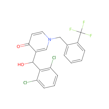 O=c1ccn(Cc2ccccc2C(F)(F)F)cc1C(O)c1c(Cl)cccc1Cl